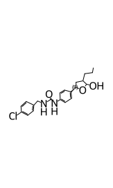 CCCC1C[C@H](c2ccc(NC(=O)NCc3ccc(Cl)cc3)cc2)OC1O